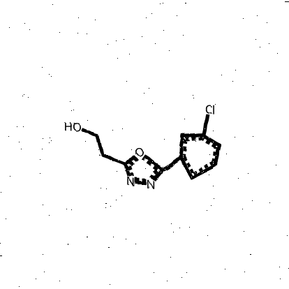 OC[CH]c1nnc(-c2cccc(Cl)c2)o1